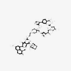 C#Cc1c(F)ccc2cc(O)cc(-c3ncc4c(N5CC6CCC(C5)N6)nc(OCCN5CCC(C)(COc6cc(C(C(=O)N7C[C@H](O)C[C@H]7C(=O)NC(C)c7ccc(-c8scnc8C)cc7)C(C)C)on6)CC5)nc4c3F)c12